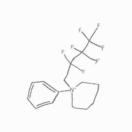 FC(F)(F)C(F)(F)C(F)(F)C[N+]1(c2ccccc2)CCCCC1